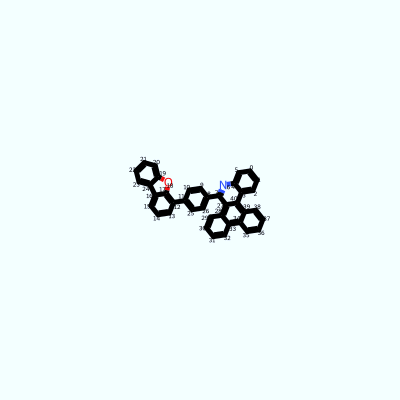 c1ccc2c(c1)nc(-c1ccc(-c3cccc4c3oc3ccccc34)cc1)c1c3ccccc3c3ccccc3c21